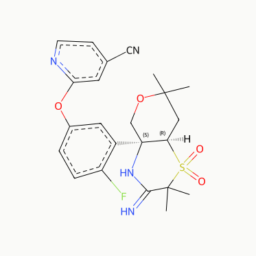 CC1(C)C[C@@H]2[C@](c3cc(Oc4cc(C#N)ccn4)ccc3F)(CO1)NC(=N)C(C)(C)S2(=O)=O